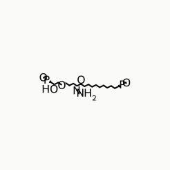 NN=C(CCCOCC(O)C#P=O)C(=O)CCCCCCCCCC#P=O